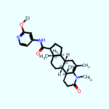 CCOc1cc(NC(=O)C2CC[C@H]3[C@@H]4CC(C)=C5N(C)C(=O)CC[C@]5(C)[C@@H]4CC[C@]23C)ccn1